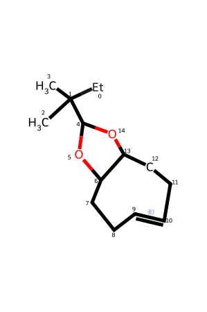 CCC(C)(C)C1OC2CC/C=C/CCC2O1